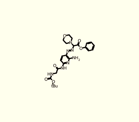 CC(C)(C)OC(=O)NCC(=O)Nc1ccc(N=NC(C(=O)Oc2ccccc2)N2CCOCC2)c(N)n1